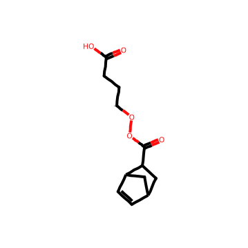 O=C(O)CC[CH]OOC(=O)C1CC2C=CC1C2